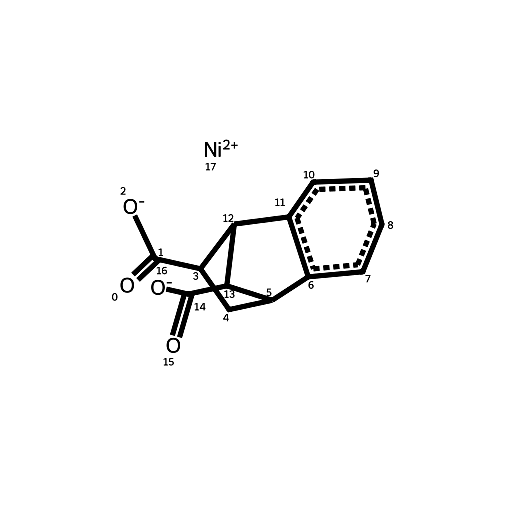 O=C([O-])C1CC2c3ccccc3C1C2C(=O)[O-].[Ni+2]